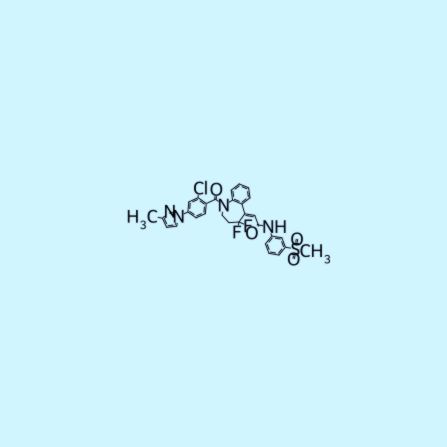 Cc1ccn(-c2ccc(C(=O)N3CCC(F)(F)/C(=C\C(=O)Nc4cccc(S(C)(=O)=O)c4)c4ccccc43)c(Cl)c2)n1